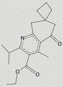 CCOC(=O)c1c(C(C)C)nc2c(c1C)C(=O)CC1(CCC1)C2